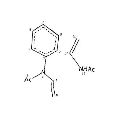 C=CN(C(C)=O)c1ccccc1.C=CNC(C)=O